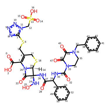 O=C(O)C1=C(CSc2nnnn2CS(=O)(=O)O)CS[C@@H]2N1C(=O)[C@@]2(NO)NC(=O)C(NC(=O)N1CCN(Cc2ccccc2)C(=O)C1=O)c1ccccc1